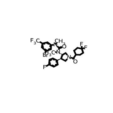 CN(C(=O)N(C)[C@@H]1CN(C(=O)C2CCC(F)(F)CC2)C[C@H]1c1ccc(F)cc1)c1cc(Br)cc(C(F)(F)F)c1